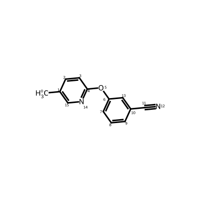 Cc1ccc(Oc2cccc(C#N)c2)nc1